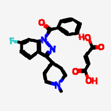 CN1CCC(c2nn(C(=O)c3ccccc3)c3cc(F)ccc23)CC1.O=C(O)C=CC(=O)O